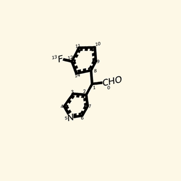 O=CC(c1ccncc1)c1cccc(F)c1